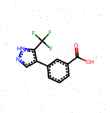 O=C(O)c1cccc(-c2cn[nH]c2C(F)(F)F)c1